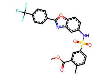 COC(=O)c1cc(S(=O)(=O)Nc2ccc3oc(-c4ccc(C(F)(F)F)cc4)nc3c2)ccc1C